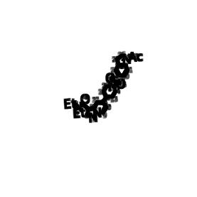 CCN(CC)C(=O)c1cnn2ccc(C3CCN(S(=O)(=O)c4ccc5c(c4)CCN5C(C)=O)CC3)cc12